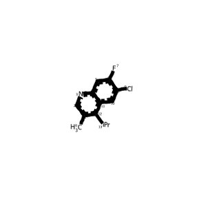 Cc1cnc2cc(F)c(Cl)cc2c1C(C)C